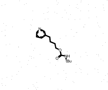 CC(C)(C)NC(=O)OCCCCc1cccnc1